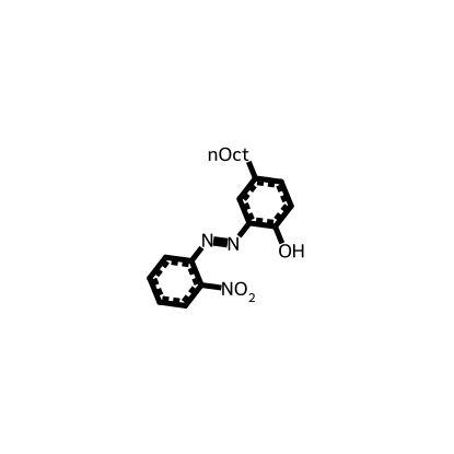 CCCCCCCCc1ccc(O)c(/N=N/c2ccccc2[N+](=O)[O-])c1